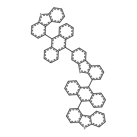 c1ccc2c(c1)sc1cccc(-c3c4ccccc4c(-c4ccc5c(c4)sc4c(-c6c7ccccc7c(-c7cccc8sc9ccccc9c78)c7ccccc67)cccc45)c4ccccc34)c12